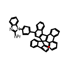 CCCc1nc2ccccc2n1-c1ccc(-c2cc3c(c4ccccc24)-c2c(c4ccccc4c4ccccc24)C32c3ccccc3-c3ccccc32)cc1